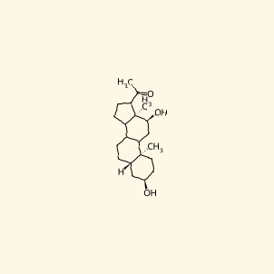 CC(=O)C1CCC2C3CC[C@H]4C[C@H](O)CC[C@]4(C)C3C[C@H](O)[C@]12C